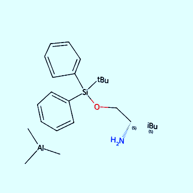 CC[C@H](C)[C@H](N)CO[Si](c1ccccc1)(c1ccccc1)C(C)(C)C.[CH3][Al]([CH3])[CH3]